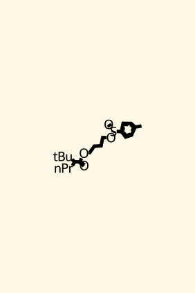 CCCC(C(=O)OCCCCOS(=O)c1ccc(C)cc1)C(C)(C)C